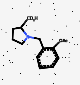 CC(=O)Oc1ccccc1CN1CCCC1C(=O)O